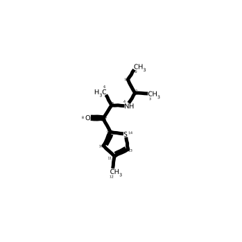 CCC(C)NC(C)C(=O)c1cc(C)cs1